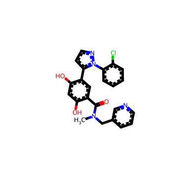 CN(Cc1cccnc1)C(=O)c1cc(-c2ccnn2-c2ccccc2Cl)c(O)cc1O